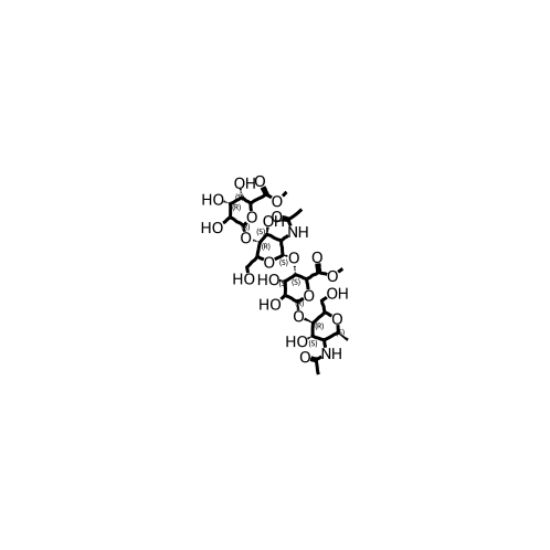 COC(=O)C1O[C@@H](O[C@H]2C(CO)O[C@@H](O[C@@H]3C(C(=O)OC)O[C@@H](O[C@H]4C(CO)O[C@@H](C)C(NC(C)=O)[C@@H]4O)C(O)[C@@H]3O)C(NC(C)=O)[C@@H]2O)C(O)[C@H](O)[C@@H]1O